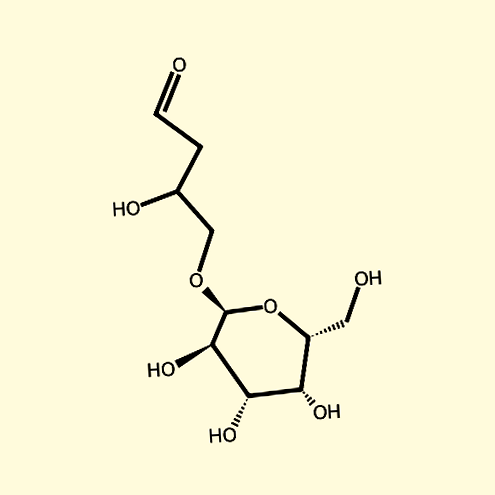 O=CCC(O)CO[C@H]1O[C@H](CO)[C@H](O)[C@H](O)[C@H]1O